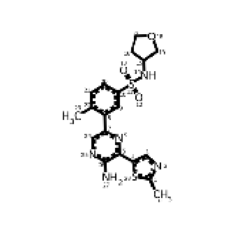 Cc1ncc(-c2nc(-c3cc(S(=O)(=O)NC4CCOC4)ccc3C)cnc2N)s1